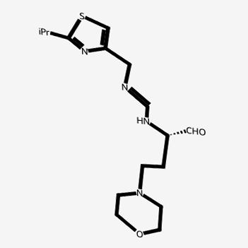 CC(C)c1nc(C/N=C/N[C@H](C=O)CCN2CCOCC2)cs1